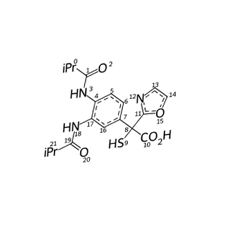 CC(C)C(=O)Nc1ccc(C(S)(C(=O)O)c2ncco2)cc1NC(=O)C(C)C